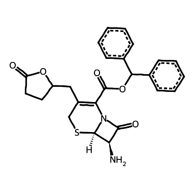 N[C@@H]1C(=O)N2C(C(=O)OC(c3ccccc3)c3ccccc3)=C(CC3CCC(=O)O3)CS[C@H]12